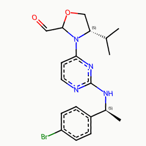 CC(C)[C@H]1COC(C=O)N1c1ccnc(N[C@@H](C)c2ccc(Br)cc2)n1